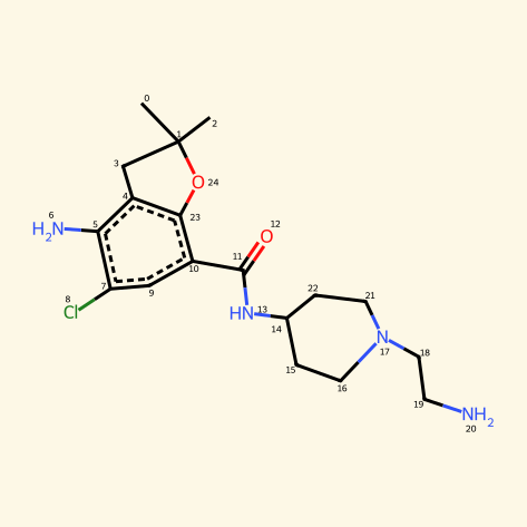 CC1(C)Cc2c(N)c(Cl)cc(C(=O)NC3CCN(CCN)CC3)c2O1